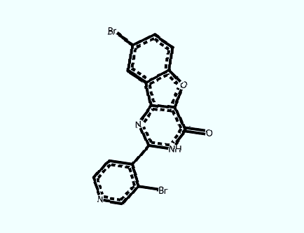 O=c1[nH]c(-c2ccncc2Br)nc2c1oc1ccc(Br)cc12